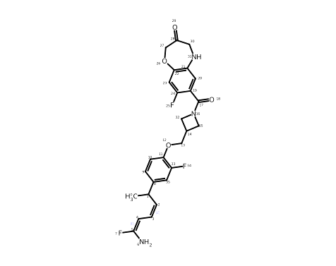 CC(/C=C\C=C(/N)F)c1ccc(OCC2CN(C(=O)c3cc4c(cc3F)OCC(=O)CN4)C2)c(F)c1